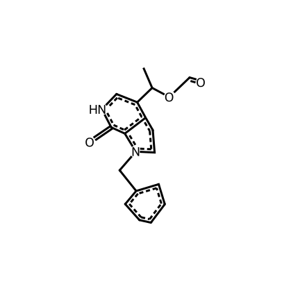 CC(OC=O)c1c[nH]c(=O)c2c1ccn2Cc1ccccc1